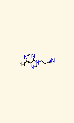 [2H]c1ncnc2c1ncn2CCC#N